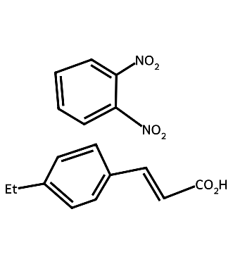 CCc1ccc(C=CC(=O)O)cc1.O=[N+]([O-])c1ccccc1[N+](=O)[O-]